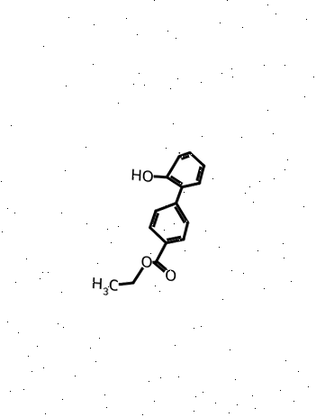 CCOC(=O)c1ccc(-c2ccc[c]c2O)cc1